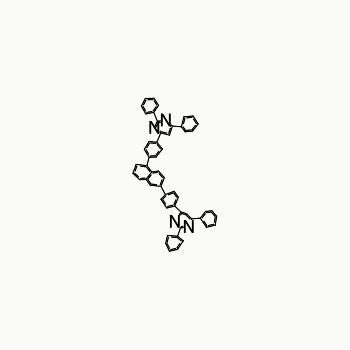 c1ccc(-c2cc(-c3ccc(-c4ccc5c(-c6ccc(-c7cc(-c8ccccc8)nc(-c8ccccc8)n7)cc6)cccc5c4)cc3)nc(-c3ccccc3)n2)cc1